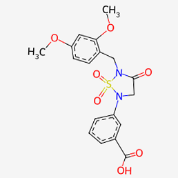 COc1ccc(CN2C(=O)CN(c3cccc(C(=O)O)c3)S2(=O)=O)c(OC)c1